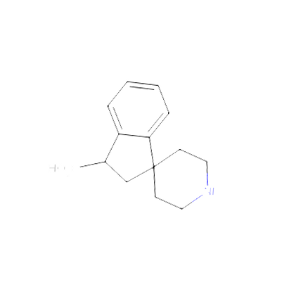 O=C(O)C1CC2(CCNCC2)c2ccccc21